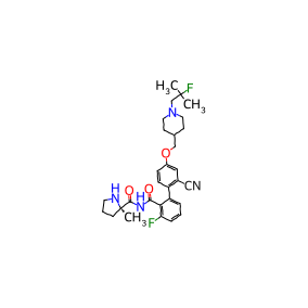 CC(C)(F)CN1CCC(COc2ccc(-c3cccc(F)c3C(=O)NC(=O)[C@]3(C)CCCN3)c(C#N)c2)CC1